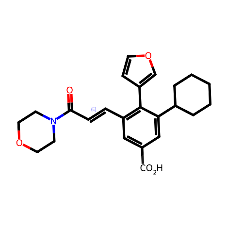 O=C(O)c1cc(/C=C/C(=O)N2CCOCC2)c(-c2ccoc2)c(C2CCCCC2)c1